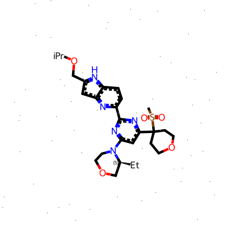 CC[C@H]1COCCN1c1cc(C2(S(C)(=O)=O)CCOCC2)nc(-c2ccc3[nH]c(COC(C)C)cc3n2)n1